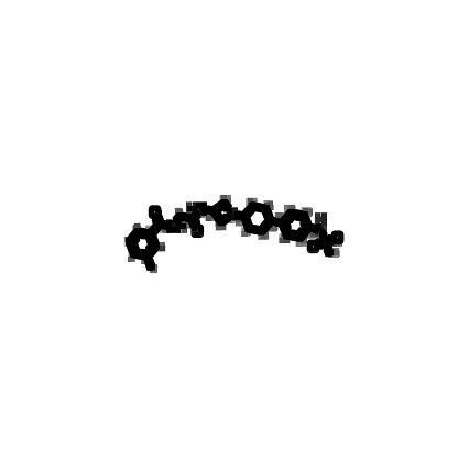 Cc1cccc(C(=O)NCC(=O)NC2CN(C3CCC(c4ccc(NS(C)(=O)=O)cc4)CC3)C2)c1